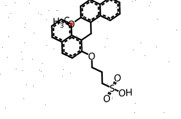 COc1ccc2ccccc2c1Cc1c(OCCCS(=O)(=O)O)ccc2ccccc12